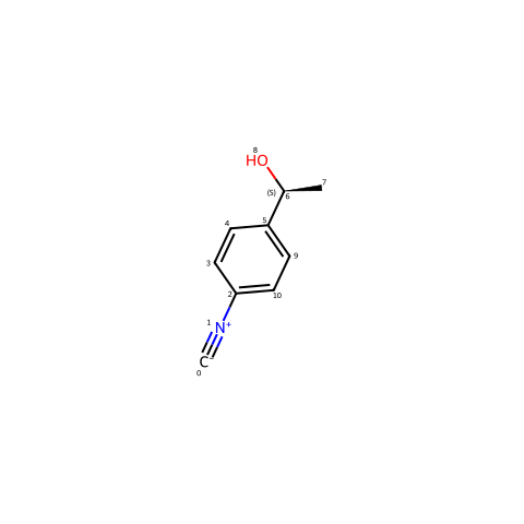 [C-]#[N+]c1ccc([C@H](C)O)cc1